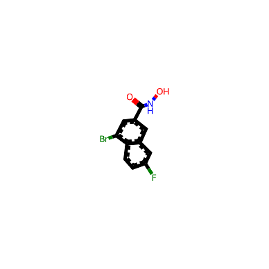 O=C(NO)c1cc(Br)c2ccc(F)cc2c1